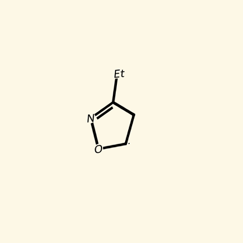 CCC1=NO[CH]C1